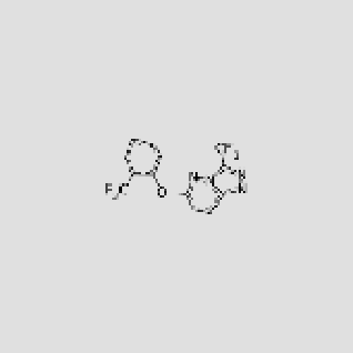 FC(F)(F)c1ccccc1Oc1ccc2nnc(C(F)(F)F)n2n1